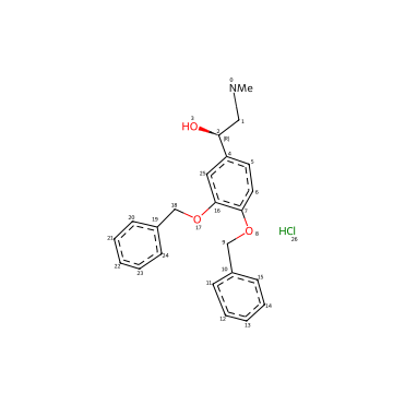 CNC[C@H](O)c1ccc(OCc2ccccc2)c(OCc2ccccc2)c1.Cl